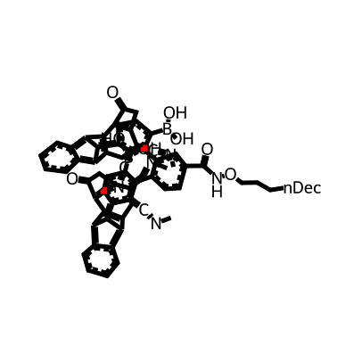 CCCCCCCCCCCCCONC(=O)c1ccc(-c2c(B(O)O)ccc(=C3C4=c5ccccc5=C3C3=C4CC(=C=NC)C4=C3C(=O)C4)c2=C=NC)c(-c2c(B(O)O)ccc(=C3C4=c5ccccc5=C3C3=C4CC(=C=NC)C4=C3C(=O)C4)c2=C=NC)c1